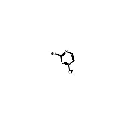 CCC(C)c1nccc(C(F)(F)F)n1